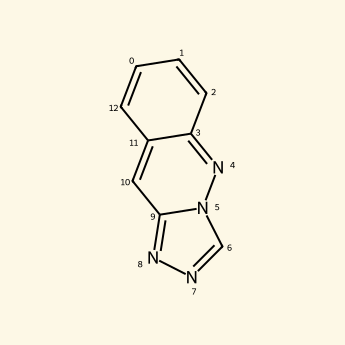 c1ccc2nn3cnnc3cc2c1